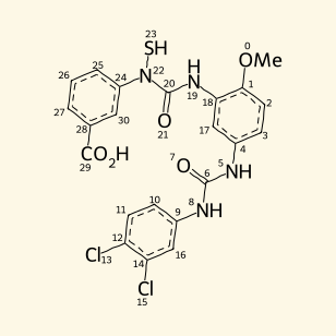 COc1ccc(NC(=O)Nc2ccc(Cl)c(Cl)c2)cc1NC(=O)N(S)c1cccc(C(=O)O)c1